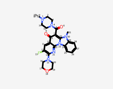 CC(C)N1CCN(C(=O)c2c(=O)c3cc(F)c(N4CCOCC4)nc3n3c4ccccc4n(C)c23)CC1